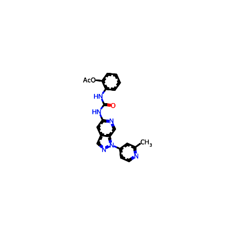 CC(=O)Oc1ccccc1NC(=O)Nc1cc2cnn(-c3ccnc(C)c3)c2cn1